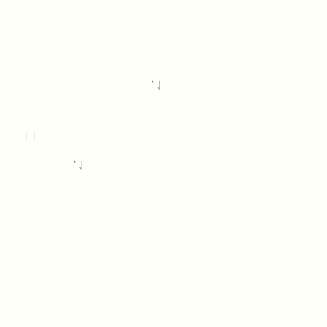 Cn1ccc(-c2ccc(I)cc2)c1C#N